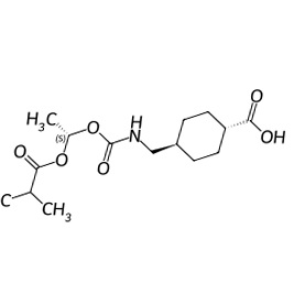 CC(C)C(=O)O[C@H](C)OC(=O)NC[C@H]1CC[C@H](C(=O)O)CC1